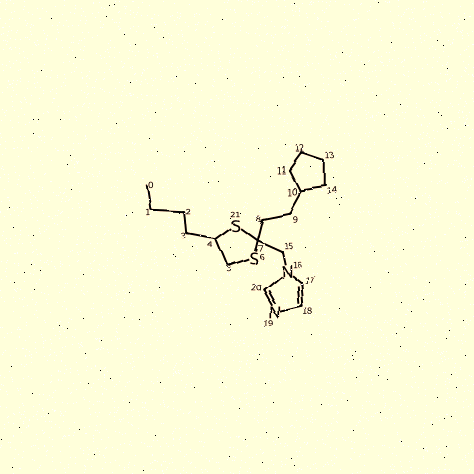 CCCCC1CSC(CCC2CCCC2)(Cn2ccnc2)S1